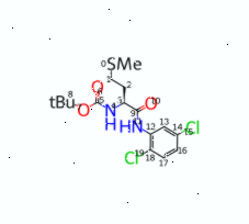 CSCC[C@H](NC(=O)OC(C)(C)C)C(=O)Nc1cc(Cl)ccc1Cl